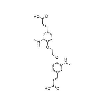 CNc1cc(/C=C/C(=O)O)ccc1OCCOc1ccc(/C=C/C(=O)O)cc1NC